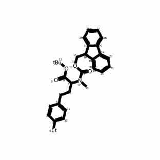 CCc1ccc(CCC(C(=O)OC(C)(C)C)N(C)C(=O)OCC2c3ccccc3-c3ccccc32)cc1